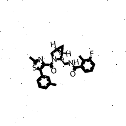 Cc1cccc(-c2sc(C)nc2C(=O)N2C[C@@H]3C[C@@H]3[C@H]2CNC(=O)c2cccc(F)c2C)c1